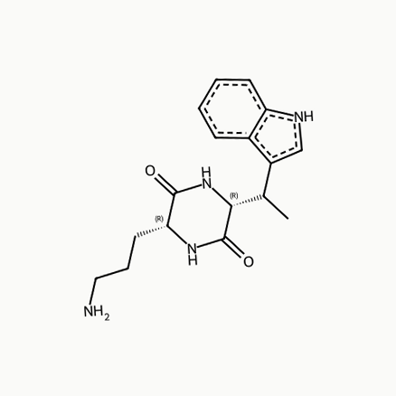 CC(c1c[nH]c2ccccc12)[C@H]1NC(=O)[C@@H](CCCN)NC1=O